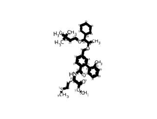 COC(=O)[C@H](CCSC)NC(=O)c1ccc(COC(C)C(OCCC(C)(C)C)C2CCCCC2)cc1-c1ccccc1C